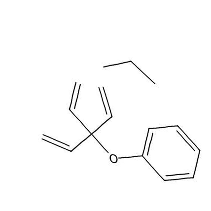 C=CC(C=C)(C=C)Oc1ccccc1.CCC